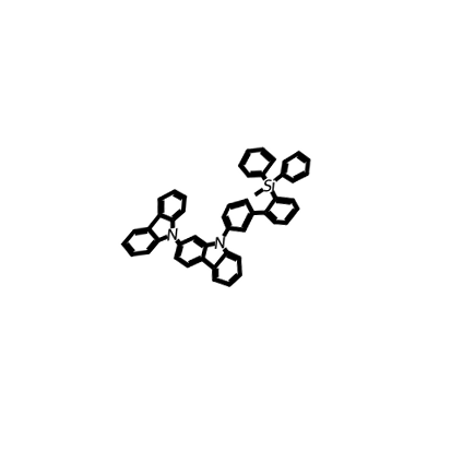 C[Si](c1ccccc1)(c1ccccc1)c1ccccc1-c1cccc(-n2c3ccccc3c3ccc(-n4c5ccccc5c5ccccc54)cc32)c1